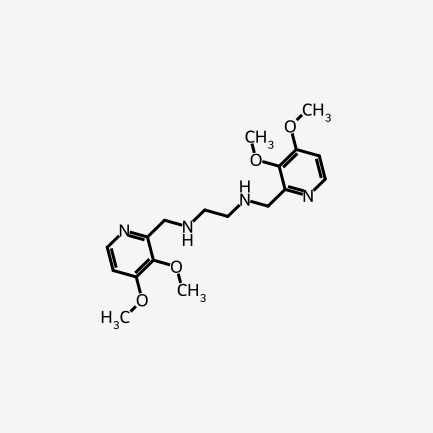 COc1ccnc(CNCCNCc2nccc(OC)c2OC)c1OC